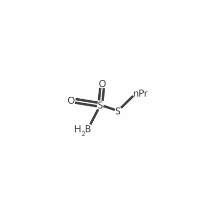 BS(=O)(=O)SCCC